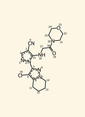 N#Cc1cnn(-c2nn3c(c2Cl)CCCC3)c1NCC(=O)N1CCOCC1